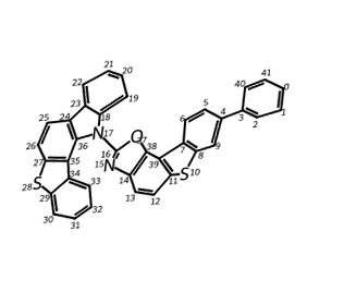 c1ccc(-c2ccc3c(c2)sc2ccc4nc(-n5c6ccccc6c6ccc7sc8ccccc8c7c65)oc4c23)cc1